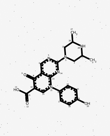 CC1CN(c2ncc3c(=O)c(C(=O)O)cn(-c4ccc(O)cc4)c3n2)CC(C)N1